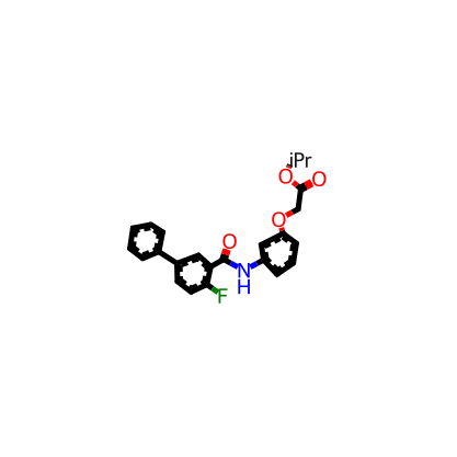 CC(C)OC(=O)COc1cccc(NC(=O)c2cc(-c3ccccc3)ccc2F)c1